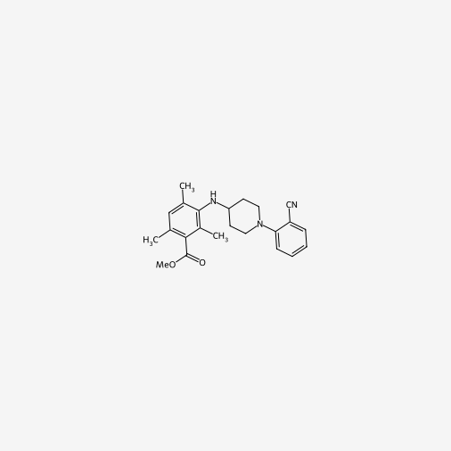 COC(=O)c1c(C)cc(C)c(NC2CCN(c3ccccc3C#N)CC2)c1C